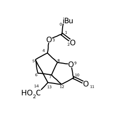 CCC(C)C(=O)OC1C2CC3C1OC(=O)C3C2C(=O)O